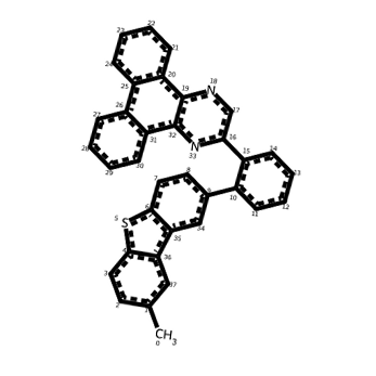 Cc1ccc2sc3ccc(-c4ccccc4-c4cnc5c6ccccc6c6ccccc6c5n4)cc3c2c1